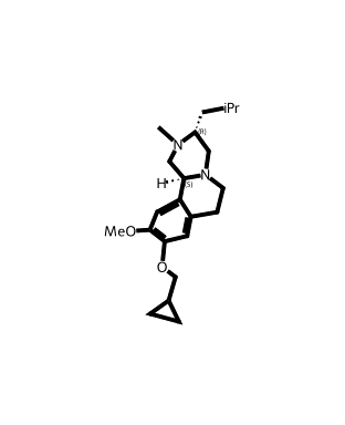 COc1cc2c(cc1OCC1CC1)CCN1C[C@@H](CC(C)C)N(C)C[C@H]21